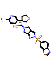 Cc1ccc([C@@]2(C(O)N3Cc4cn(S(=O)(=O)c5ccc6ncsc6c5)nc4C3)CCOC2)cn1